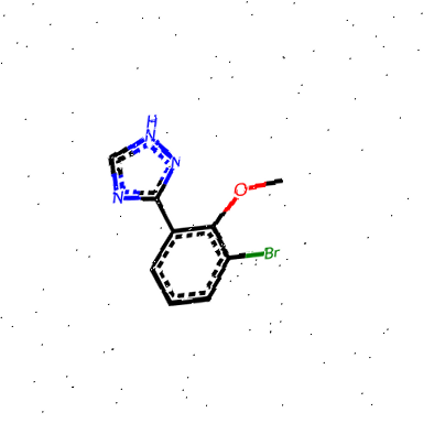 COc1c(Br)cccc1-c1nc[nH]n1